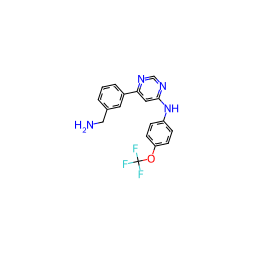 NCc1cccc(-c2cc(Nc3ccc(OC(F)(F)F)cc3)ncn2)c1